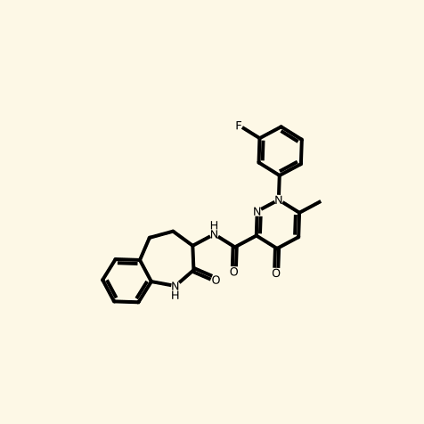 Cc1cc(=O)c(C(=O)NC2CCc3ccccc3NC2=O)nn1-c1cccc(F)c1